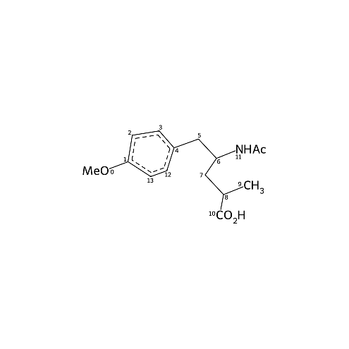 COc1ccc(CC(CC(C)C(=O)O)NC(C)=O)cc1